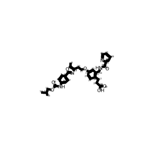 Cc1oc(-c2ccc(NC(=O)OCC(C)C)cc2)nc1CCOc1ccc(CCC(=O)O)c(CNC(=O)c2ccccn2)c1